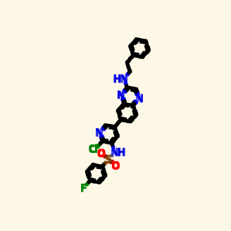 O=S(=O)(Nc1cc(-c2ccc3ncc(NCCc4ccccc4)nc3c2)cnc1Cl)c1ccc(F)cc1